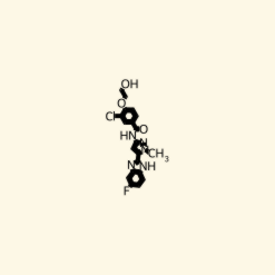 Cn1nc(NC(=O)c2ccc(OCCO)c(Cl)c2)cc1-c1nc2cc(F)ccc2[nH]1